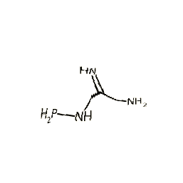 N=C(N)NP